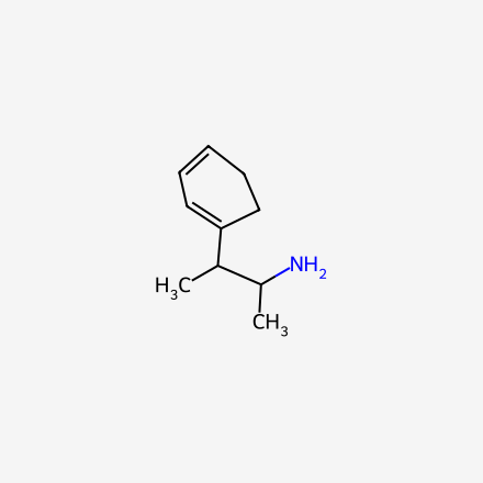 CC(N)C(C)C1=CC=CCC1